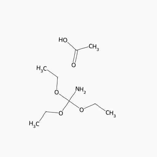 CC(=O)O.CCOC(N)(OCC)OCC